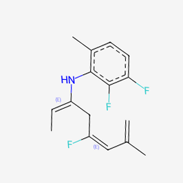 C=C(C)/C=C(/F)C/C(=C\C)Nc1c(C)ccc(F)c1F